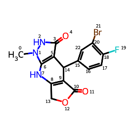 Cn1[nH]c(=O)c2c1NC1=C(C(=O)OC1)C2c1ccc(F)c(Br)c1